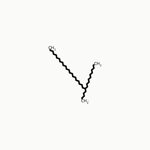 [CH2]CCCCC(CCCCCCCCCCC)CCCCCCCCCCCCCCCCCCCCCC